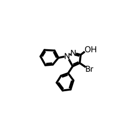 Oc1nn(-c2ccccc2)c(-c2ccccc2)c1Br